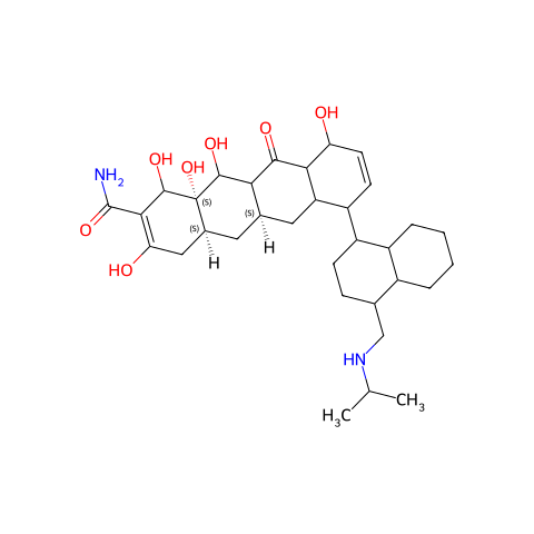 CC(C)NCC1CCC(C2C=CC(O)C3C(=O)C4C(O)[C@]5(O)C(O)C(C(N)=O)=C(O)C[C@@H]5C[C@@H]4CC23)C2CCCCC12